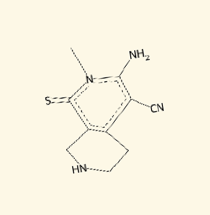 Cn1c(N)c(C#N)c2c(c1=S)CNCC2